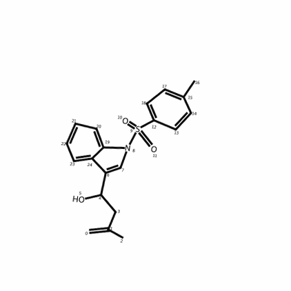 C=C(C)CC(O)c1cn(S(=O)(=O)c2ccc(C)cc2)c2ccccc12